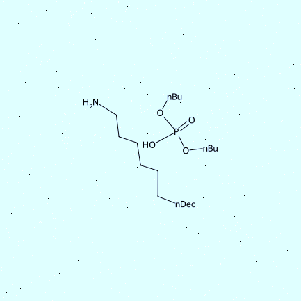 CCCCCCCCCCCCCCCCN.CCCCOP(=O)(O)OCCCC